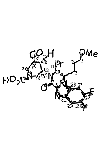 COCCCCn1c(C(=O)N(CC(C)C)[C@H]2C[C@@H](C(=O)O)CN(C(=O)O)C2)nc2cc(F)c(F)cc21